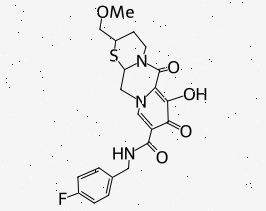 COCC1CCN2C(=O)c3c(O)c(=O)c(C(=O)NCc4ccc(F)cc4)cn3CC2S1